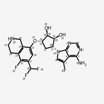 Nc1ncnc2c1c(F)cn2[C@@H]1C[C@H](Oc2cc(C(F)F)c(F)c3c2CNCC3)[C@@H](O)[C@H]1O